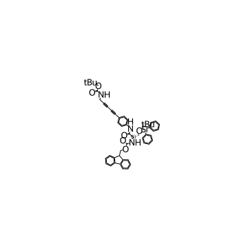 CC(C)(C)OC(=O)NCC#CC#Cc1ccc(NC(=O)[C@H](CO[Si](c2ccccc2)(c2ccccc2)C(C)(C)C)NC(=O)OCC2c3ccccc3-c3ccccc32)cc1